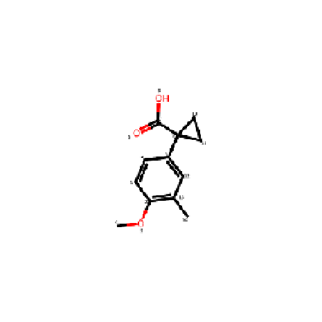 COc1ccc(C2(C(=O)O)CC2)cc1C